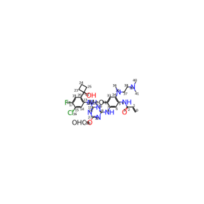 C=CC(=O)Nc1cc(Nc2nc(Nc3cc(Cl)c(F)cc3C3(O)CCC3)nc(OC=O)n2)c(OC)cc1N(C)CCN(C)C